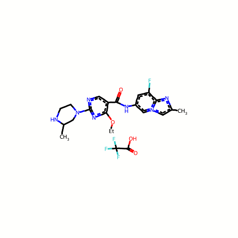 CCOc1nc(N2CCNC(C)C2)ncc1C(=O)Nc1cc(F)c2nc(C)cn2c1.O=C(O)C(F)(F)F